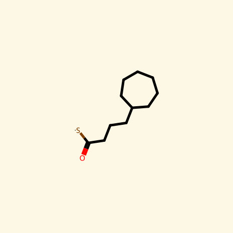 O=C([S])CCCC1CCCCCC1